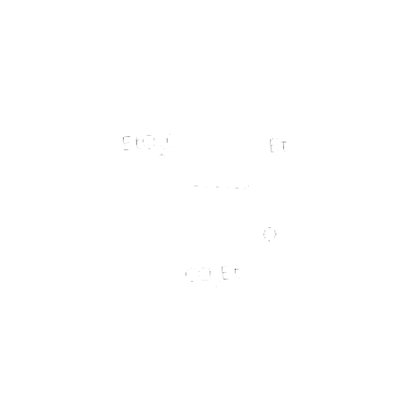 CCOC(=O)CC(C(=O)CC)C(=O)OCC